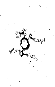 [2H]C([2H])([2H])O[C@@H]1CO[C@H](c2c([N+](=O)[O-])cnn2C)CC[C@H]1NC(=O)O